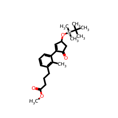 COC(=O)CCCc1cccc(C2=CC(O[Si](C)(C)C(C)(C)C)CC2=O)c1C